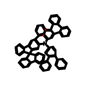 c1ccc(-c2ccc(N(c3ccc4c5ccccc5c5ccccc5c4c3)c3cc4c(cc3-c3ccccc3)-c3ccccc3C43c4ccccc4-c4ccccc43)cc2-c2ccccc2)cc1